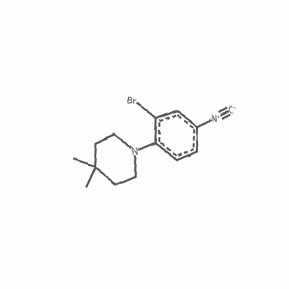 [C-]#[N+]c1ccc(N2CCC(C)(C)CC2)c(Br)c1